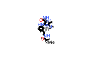 CN[C@@H](C)C(=O)NCCc1cccc(Nc2nc(N(C)C(C)C)c(C)nc2C(N)=O)c1